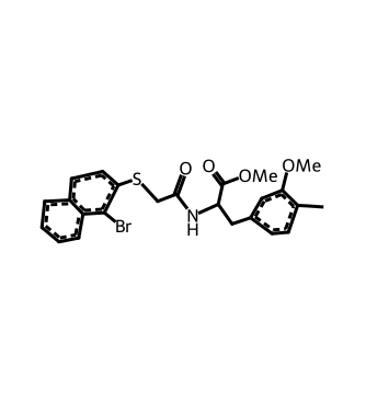 COC(=O)C(Cc1ccc(C)c(OC)c1)NC(=O)CSc1ccc2ccccc2c1Br